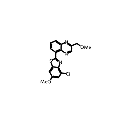 COCc1cnc2c(-c3nc4c(Cl)cc(OC)cc4s3)cccc2n1